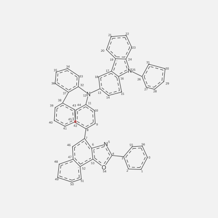 c1ccc(-c2nc3c(-c4ccc(N(c5ccc6c(c5)c5ccccc5n6-c5ccccc5)c5ccccc5-c5ccccc5)cc4)cc4ccccc4c3o2)cc1